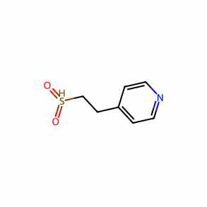 O=[SH](=O)CCc1ccncc1